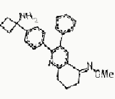 CO/N=C1\CCCc2nc(-c3ccc(C4(N)CCC4)cc3)c(-c3ccccc3)cc21